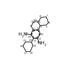 CC(C)Cc1c(C2CCCCC2)cc(N)c(C2CCCCC2)c1N